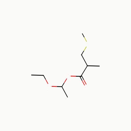 CCOC(C)OC(=O)C(C)CSC